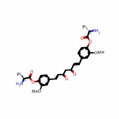 COc1cc(/C=C/C(=O)CC(=O)/C=C/c2ccc(OC(=O)[C@@H](N)C(C)C)c(OC)c2)ccc1OC(=O)[C@@H](N)C(C)C